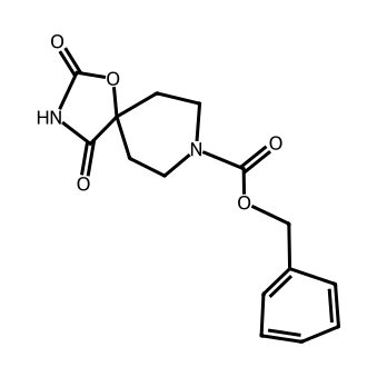 O=C1NC(=O)C2(CCN(C(=O)OCc3ccccc3)CC2)O1